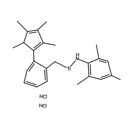 CC1=C(C)C(C)C(c2ccccc2[CH2][Ti][NH]c2c(C)cc(C)cc2C)=C1C.Cl.Cl